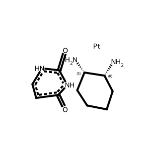 N[C@@H]1CCCC[C@@H]1N.O=c1cc[nH]c(=O)[nH]1.[Pt]